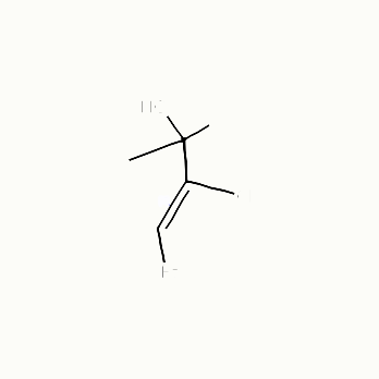 CC/C=C(\Cl)C(C)(C)O